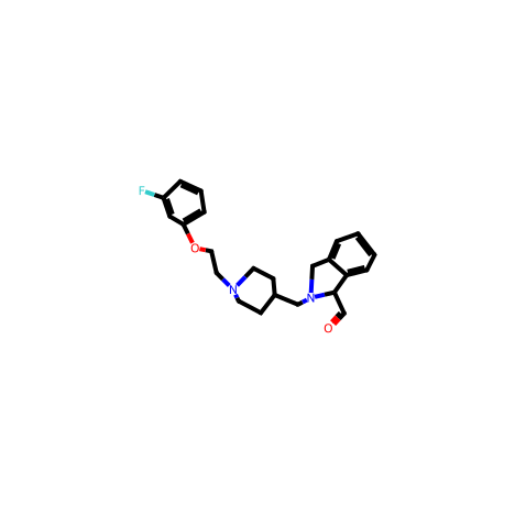 O=CC1c2ccccc2CN1CC1CCN(CCOc2cccc(F)c2)CC1